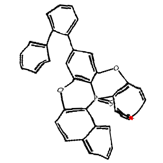 S=P12c3c(cc(-c4ccccc4-c4ccccc4)cc3Oc3ccc4ccccc4c31)Oc1ccc3ccccc3c12